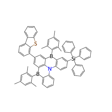 Cc1cc(C)c(B2c3ccccc3N3c4ccc([Si](c5ccccc5)(c5ccccc5)c5ccccc5)cc4B(c4c(C)cc(C)cc4C)c4cc(-c5cccc6c5sc5ccccc56)cc2c43)c(C)c1